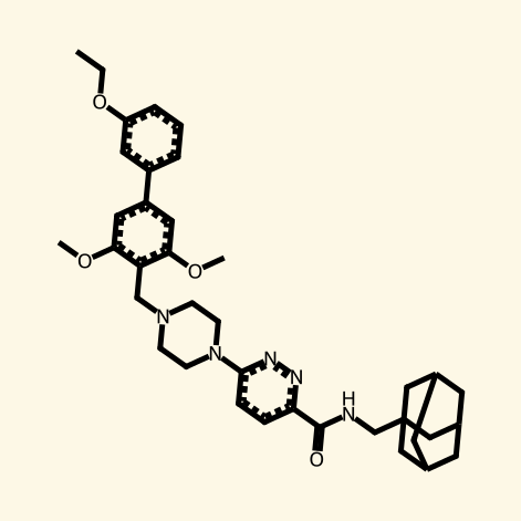 CCOc1cccc(-c2cc(OC)c(CN3CCN(c4ccc(C(=O)NCC56CC7CC(CC(C7)C5)C6)nn4)CC3)c(OC)c2)c1